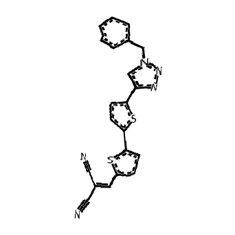 N#CC(C#N)=Cc1ccc(-c2ccc(-c3cn(Cc4ccccc4)nn3)s2)s1